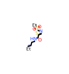 CC/C=C/CCNC(=O)c1cnc(S(=O)(=O)CC)s1